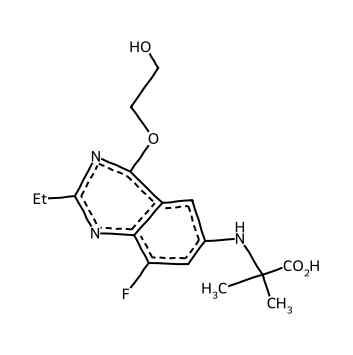 CCc1nc(OCCO)c2cc(NC(C)(C)C(=O)O)cc(F)c2n1